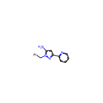 CC(C)Cn1nc(-c2ccccn2)cc1N